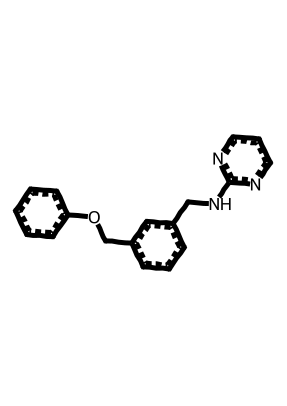 c1ccc(OCc2cccc(CNc3ncccn3)c2)cc1